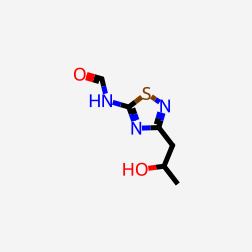 CC(O)Cc1nsc(NC=O)n1